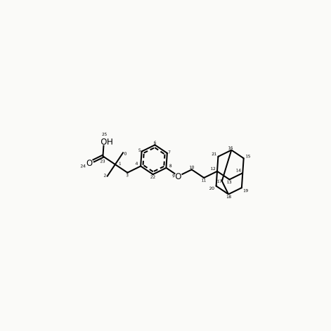 CC(C)(Cc1cccc(OCCC23CC4CC(CC(C4)C2)C3)c1)C(=O)O